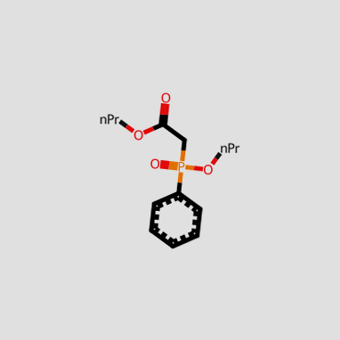 CCCOC(=O)CP(=O)(OCCC)c1ccccc1